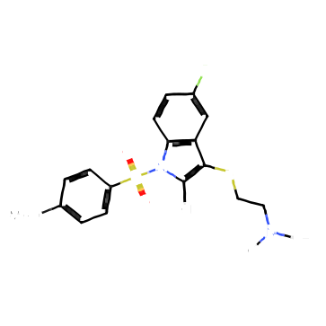 COc1ccc(S(=O)(=O)n2c(C)c(SCCN(C)C)c3cc(F)ccc32)cc1